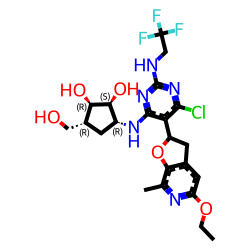 CCOc1cc2c(c(C)n1)OC(c1c(Cl)nc(NCC(F)(F)F)nc1N[C@@H]1C[C@H](CO)[C@@H](O)[C@H]1O)C2